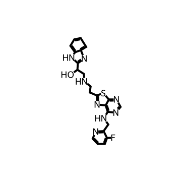 OC(CNCCc1nc2c(NCc3ncccc3F)ncnc2s1)c1nc2ccccc2[nH]1